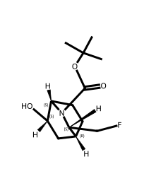 CC(C)(C)OC(=O)N1[C@H](CF)[C@@H]2CC[C@H]1[C@@H](O)C2